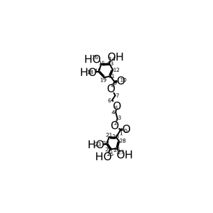 O=C(OCCOCCOC(=O)c1cc(O)c(O)c(O)c1)c1cc(O)c(O)c(O)c1